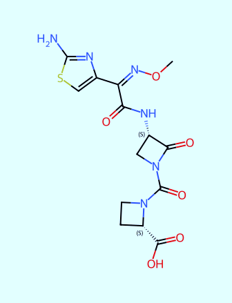 CON=C(C(=O)N[C@H]1CN(C(=O)N2CC[C@H]2C(=O)O)C1=O)c1csc(N)n1